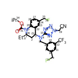 CC[C@@H]1C[C@H](N(Cc2cc(CF)cc(C(F)(F)F)c2)c2nnn(CC#N)n2)c2cc(CF)ccc2N1C(=O)OC(C)C